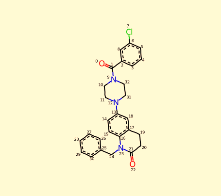 O=C(c1cccc(Cl)c1)N1CCN(c2ccc3c(c2)CCC(=O)N3Cc2ccccc2)CC1